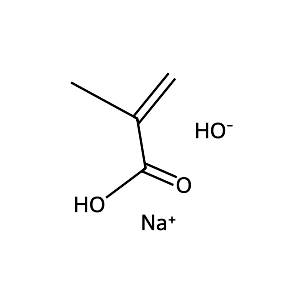 C=C(C)C(=O)O.[Na+].[OH-]